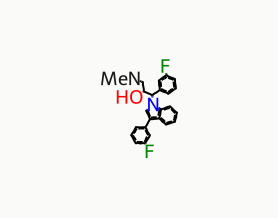 CNCC(O)C(c1cccc(F)c1)n1cc(-c2cccc(F)c2)c2ccccc21